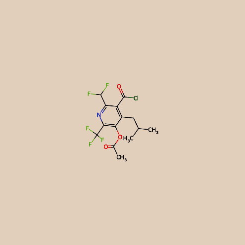 CC(=O)Oc1c(C(F)(F)F)nc(C(F)F)c(C(=O)Cl)c1CC(C)C